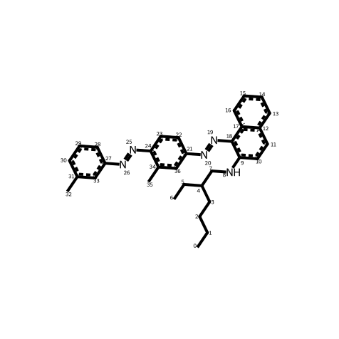 CCCCC(CC)CNc1ccc2ccccc2c1/N=N/c1ccc(/N=N/c2cccc(C)c2)c(C)c1